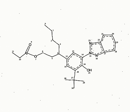 CCCCC(CCOC(=O)CC)c1cc(-n2nc3ccccc3n2)c(O)c(C(C)(C)C)c1